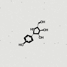 OC[C@H]1N[C@@H](c2ccc(O)cc2)[C@@H](O)[C@@H]1O